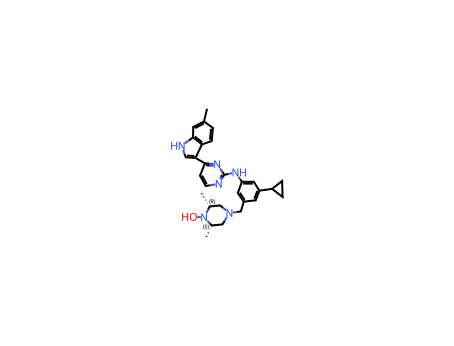 Cc1ccc2c(-c3ccnc(Nc4cc(CN5C[C@@H](C)N(O)[C@@H](C)C5)cc(C5CC5)c4)n3)c[nH]c2c1